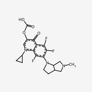 CN1CC2CCN(c3c(F)c(F)c4c(=O)c(OC(=O)O)cn(C5CC5)c4c3F)C2C1